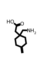 C=C1CCC(CN)(CC(=O)O)CC1